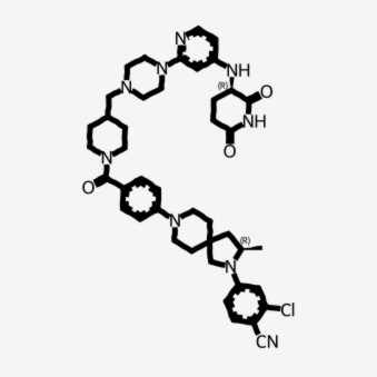 C[C@@H]1CC2(CCN(c3ccc(C(=O)N4CCC(CN5CCN(c6cc(N[C@@H]7CCC(=O)NC7=O)ccn6)CC5)CC4)cc3)CC2)CN1c1ccc(C#N)c(Cl)c1